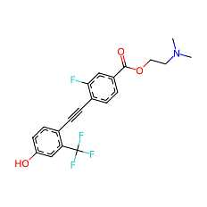 CN(C)CCOC(=O)c1ccc(C#Cc2ccc(O)cc2C(F)(F)F)c(F)c1